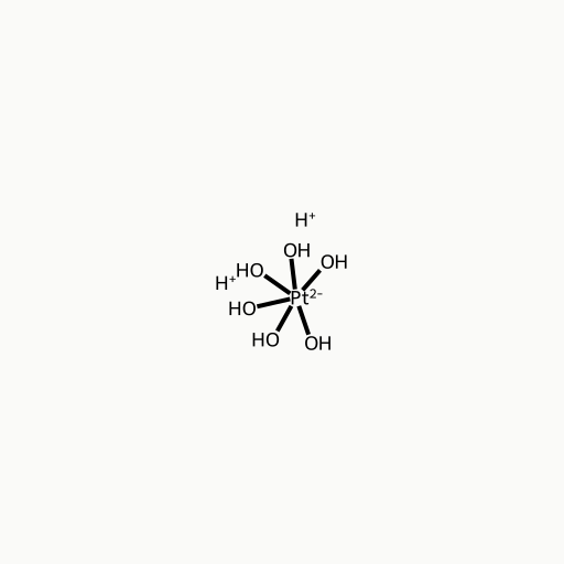 [H+].[H+].[OH][Pt-2]([OH])([OH])([OH])([OH])[OH]